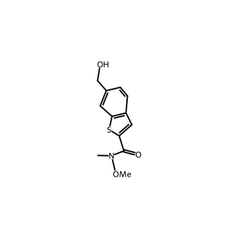 CON(C)C(=O)c1cc2ccc(CO)cc2s1